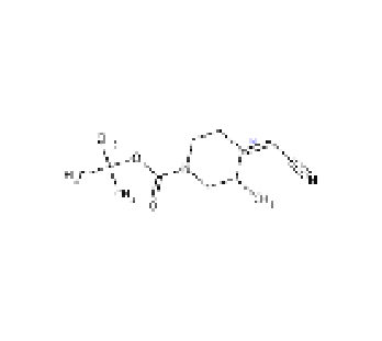 CC1CN(C(=O)OC(C)(C)C)CC/C1=C/C#N